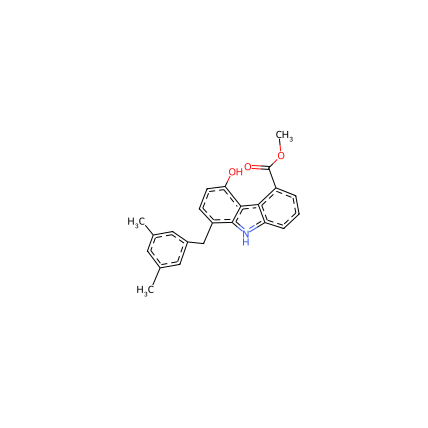 COC(=O)c1cccc2[nH]c3c(Cc4cc(C)cc(C)c4)ccc(O)c3c12